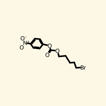 O=C(OCCCCCBr)Oc1ccc([N+](=O)[O-])cc1